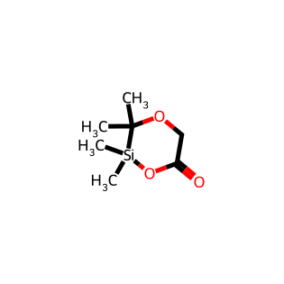 CC1(C)OCC(=O)O[Si]1(C)C